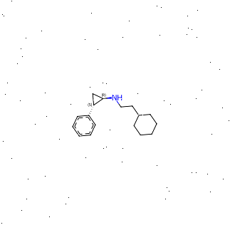 c1ccc([C@@H]2C[C@H]2NCCC2CCCCC2)cc1